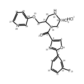 Cl.Cl.O=C(c1coc(-c2cccc(F)c2)n1)N1CCNCC1COc1cccnc1